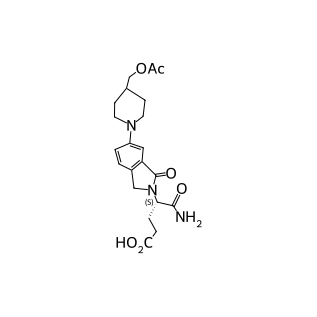 CC(=O)OCC1CCN(c2ccc3c(c2)C(=O)N([C@@H](CCC(=O)O)C(N)=O)C3)CC1